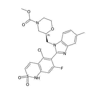 COC(=O)N1CCO[C@@H](Cn2c(-c3c(F)cc4c(c3Cl)C=CS(=O)(=O)N4)nc3cc(C)ccc32)C1